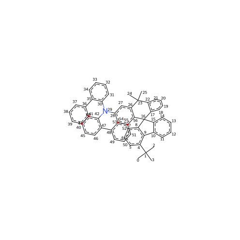 CC(C)(C)c1cccc2c1-c1ccccc1C21c2ccccc2C(C)(C)c2cc(N(c3ccccc3-c3ccccc3)c3ccccc3-c3ccccc3)ccc21